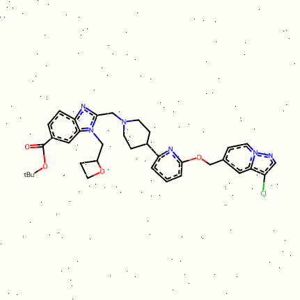 CC(C)(C)OC(=O)c1ccc2nc(CN3CCC(c4cccc(OCc5ccn6ncc(Cl)c6c5)n4)CC3)n(CC3CCO3)c2c1